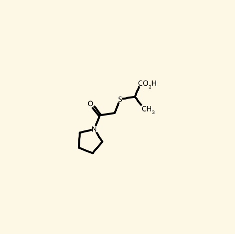 CC(SCC(=O)N1CCCC1)C(=O)O